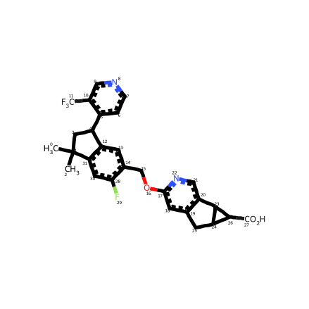 CC1(C)CC(c2ccncc2C(F)(F)F)c2cc(COc3cc4c(cn3)C3C(C4)C3C(=O)O)c(F)cc21